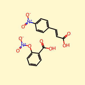 O=C(O)C=Cc1ccc([N+](=O)[O-])cc1.O=C(O)c1ccccc1O[N+](=O)[O-]